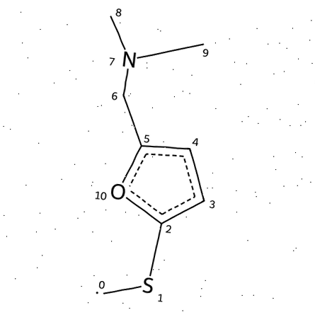 [CH2]Sc1ccc(CN(C)C)o1